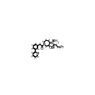 CC(C)CCC(=O)N(N)C1CCCN(C(=O)Cc2cccc(-c3ccccn3)c2)C[C@@H]1O